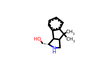 CC1(C)c2ccccc2C2C1CN[C@@H]2CO